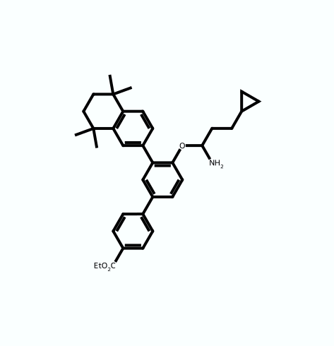 CCOC(=O)c1ccc(-c2ccc(OC(N)CCC3CC3)c(-c3ccc4c(c3)C(C)(C)CCC4(C)C)c2)cc1